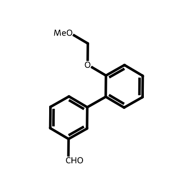 COCOc1ccccc1-c1cccc(C=O)c1